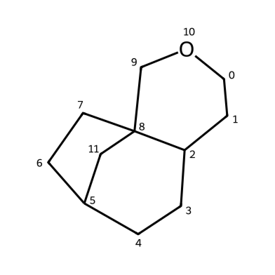 C1CC2CCC3CCC2(CO1)C3